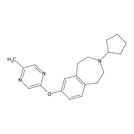 Cc1cnc(Oc2ccc3c(c2)CCN(C2CCCC2)CC3)cn1